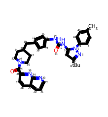 Cc1ccc(-n2nc(C(C)(C)C)cc2NC(=O)Nc2ccc(CC3CCN(C(=O)c4ccc5cccnc5n4)CC3)cc2)cc1